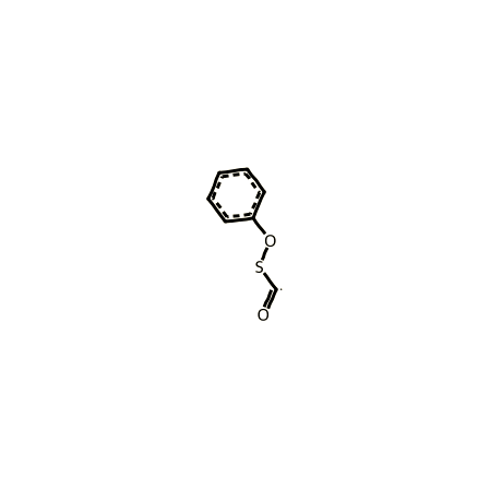 O=[C]SOc1ccccc1